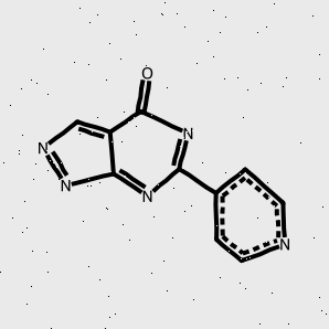 O=C1N=C(c2ccncc2)N=C2N=NC=C12